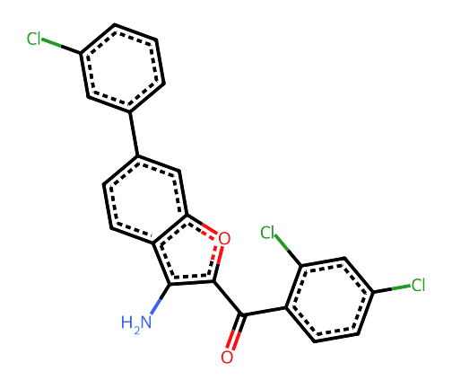 Nc1c(C(=O)c2ccc(Cl)cc2Cl)oc2cc(-c3cccc(Cl)c3)ccc12